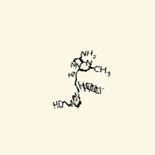 Cc1cc(NCCCn2cc[n+](CCO)c2)n2ncc(N)c2n1.Cl.Cl.[Cl-]